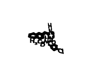 CC(=O)N[C@H](Cc1ccc(Cl)cc1)C(=O)N1CCNC(Cc2ccc3ccccc3c2)C1